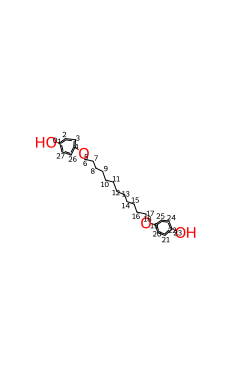 Oc1ccc(OCCCCCCCCCCCCOc2ccc(O)cc2)cc1